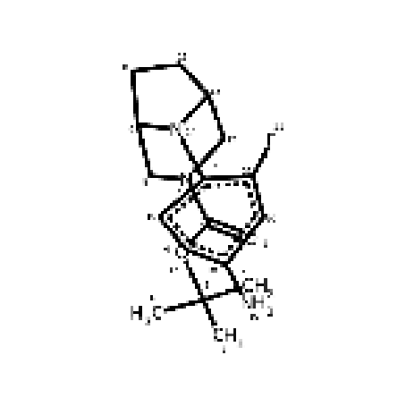 CC(C)(C)OC(=O)N1CC2CCC(C1)N2c1ccc(N)cc1F